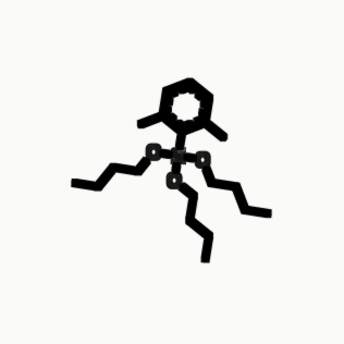 CCCCO[Si](OCCCC)(OCCCC)c1c(C)cccc1C